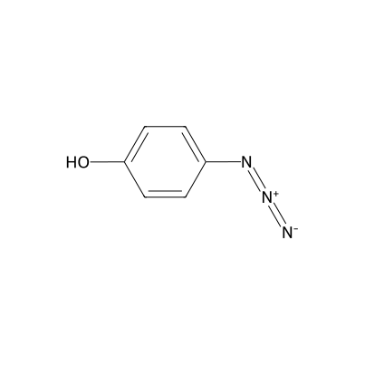 [N-]=[N+]=Nc1ccc(O)cc1